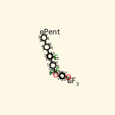 CCCCCC1CCC(C2CCC(c3ccc(C4CCC(C(F)(F)Oc5ccc(OC(F)(F)F)cc5)CC4)c(F)c3)CC2)CC1